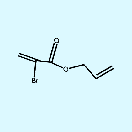 C=CCOC(=O)C(=C)Br